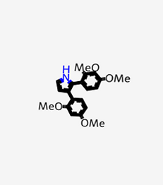 COc1ccc(-c2cc[nH]c2-c2ccc(OC)cc2OC)c(OC)c1